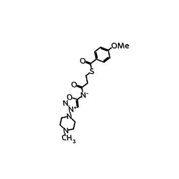 COc1ccc(C(=O)SCCC(=O)[N-]c2c[n+](N3CCN(C)CC3)no2)cc1